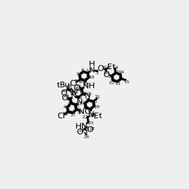 CCC(OCNc1ccc(Cl)c(NC(=O)/C(=N/c2ccc(N(CC)CCNS(C)(=O)=O)cc2C)c2nc3c([N+](=O)[O-])cc(Cl)cc3c(=O)n2NC(=O)C(C)(C)C)c1)Oc1ccc(C)cc1C